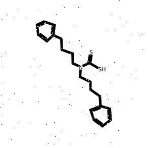 S=C(S)N(CCCCc1ccccc1)CCCCc1ccccc1